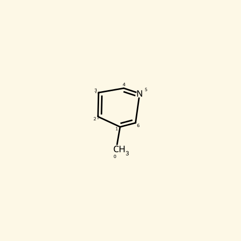 Cc1[c][c]cnc1